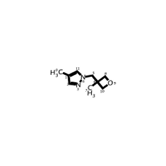 Cc1cnn(CC2(C)COC2)c1